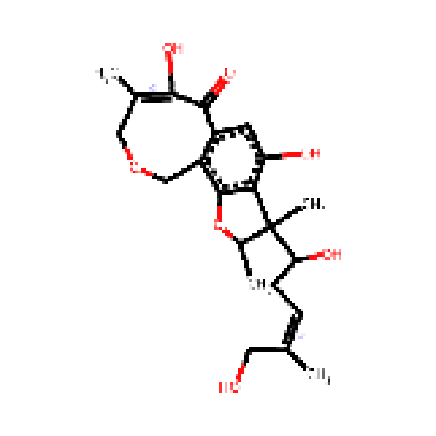 C/C(=C/CC(O)C1(C)c2c(O)cc3c(c2OC1C)COC/C(C)=C(/O)C3=O)CO